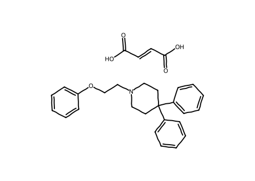 O=C(O)C=CC(=O)O.c1ccc(OCCN2CCC(c3ccccc3)(c3ccccc3)CC2)cc1